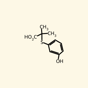 CC(C)(Sc1cccc(O)c1)C(=O)O